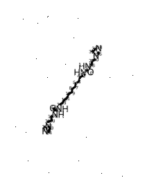 O=C(NCCCCCCCCCCCCNC(=O)NCCCn1ccnc1)NCCCn1ccnc1